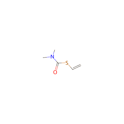 C=CSC(=O)N(C)C